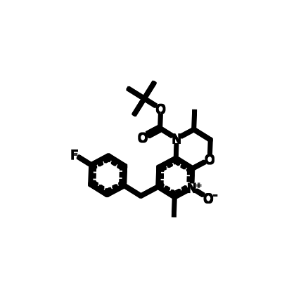 Cc1c(Cc2ccc(F)cc2)cc2c([n+]1[O-])OCC(C)N2C(=O)OC(C)(C)C